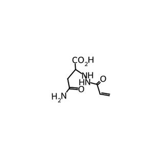 C=CC(=O)NNC(CC(N)=O)C(=O)O